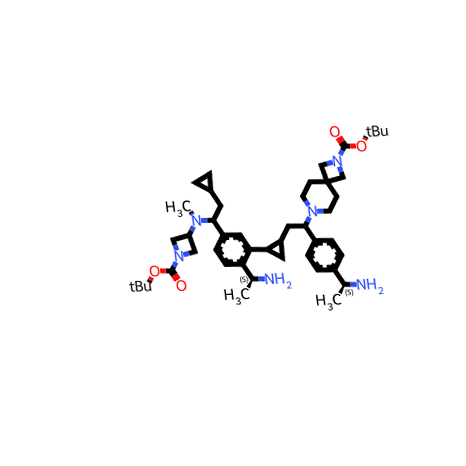 C[C@H](N)c1ccc(C(CC2CC2c2cc(C(CC3CC3)N(C)C3CN(C(=O)OC(C)(C)C)C3)ccc2[C@H](C)N)N2CCC3(CC2)CN(C(=O)OC(C)(C)C)C3)cc1